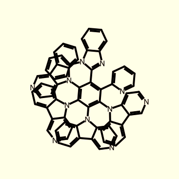 c1ccc(-n2c(-c3c(-c4ccccn4)c(-n4c5ccccc5c5cnccc54)c(-n4c5ccccc5c5cnccc54)c(-n4c5ccccc5c5cnccc54)c3-n3c4ccccc4c4cnccc43)nc3ccccc32)cc1